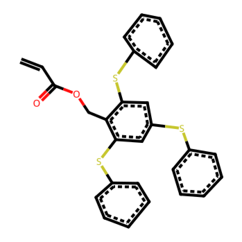 C=CC(=O)OCc1c(Sc2ccccc2)cc(Sc2ccccc2)cc1Sc1ccccc1